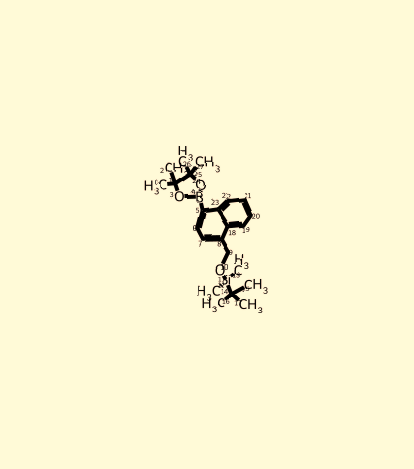 CC1(C)OB(c2ccc(CO[Si](C)(C)C(C)(C)C)c3ccccc23)OC1(C)C